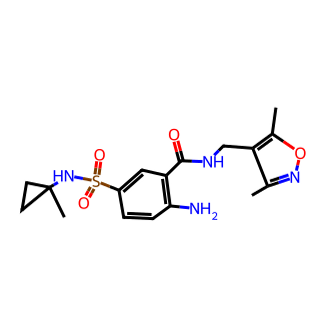 Cc1noc(C)c1CNC(=O)c1cc(S(=O)(=O)NC2(C)CC2)ccc1N